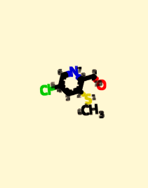 CSc1cc(Cl)cnc1C=O